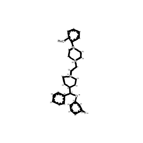 COc1ccccc1N1CCN(CCN2CCC(C(Oc3cccc(F)c3)c3ccccc3)CC2)CC1